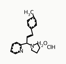 Cc1ccc(C=CC(c2ccccn2)N2CCCC2)cc1.Cl.O